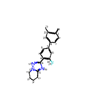 Cc1ccc(-c2ccc(-c3nc4n(n3)CCCC4)c(F)c2)cc1C